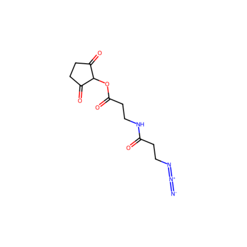 [N-]=[N+]=NCCC(=O)NCCC(=O)OC1C(=O)CCC1=O